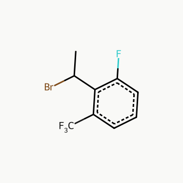 CC(Br)c1c(F)cccc1C(F)(F)F